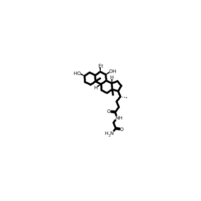 CC[C@@H]1C2C[C@H](O)CCC2(C)[C@H]2CCC3(C)C([C@H](C)CCC(=O)NCC(N)=O)CC[C@H]3C2[C@@H]1O